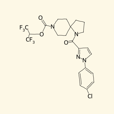 O=C(OC(C(F)(F)F)C(F)(F)F)N1CCC2(CCCN2C(=O)c2ccn(-c3ccc(Cl)cc3)n2)CC1